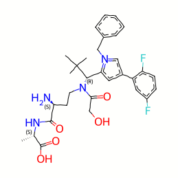 C[C@H](NC(=O)[C@@H](N)CCN(C(=O)CO)[C@@H](c1cc(-c2cc(F)ccc2F)cn1Cc1ccccc1)C(C)(C)C)C(=O)O